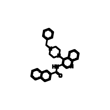 O=C(Nc1cnc2ccccc2c1N1CCN(Cc2ccccc2)CC1)c1ccc2ccccc2c1